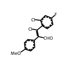 COc1ccc(C(C=O)=C(Cl)c2ccc(F)cc2Cl)cc1